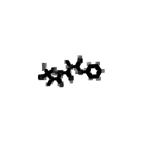 CN(C(=O)NC(=S)N(C)C(F)(Cl)Cl)C(=O)Oc1ccccc1